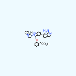 Nc1nccc2ccc(-c3ccc4nn(C5CCN(CC(=O)O)C5)c(COc5ccccc5CC(=O)O)c4c3)cc12